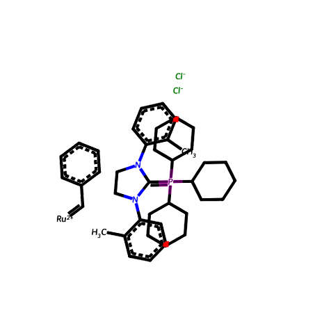 Cc1ccccc1N1CCN(c2ccccc2C)C1=P(C1CCCCC1)(C1CCCCC1)C1CCCCC1.[Cl-].[Cl-].[Ru+2]=[CH]c1ccccc1